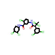 CC(Cl)(Cl)C(C(=O)Nc1ccc(Cl)c(C(=O)Nc2ccc(Cl)c(Cl)c2)c1)c1cc(Cl)cc(Cl)c1